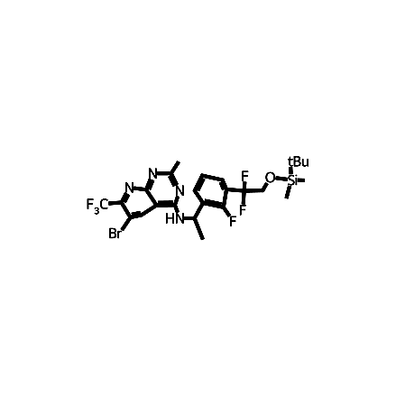 Cc1nc(NC(C)c2cccc(C(F)(F)CO[Si](C)(C)C(C)(C)C)c2F)c2cc(Br)c(C(F)(F)F)nc2n1